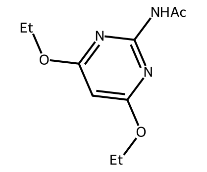 CCOc1cc(OCC)nc(NC(C)=O)n1